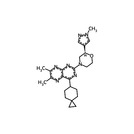 Cc1nc2nc(N3CCO[C@H](c4cnn(C)c4)C3)nc(C3CCC4(CC3)CC4)c2nc1C